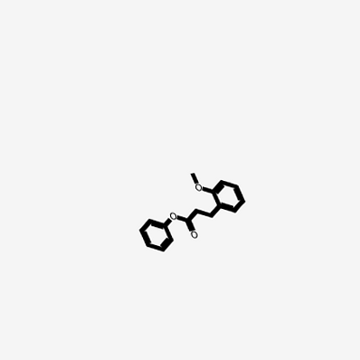 COc1ccccc1CCC(=O)Oc1ccccc1